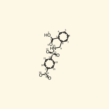 O=C(O)c1ccccc1CNS(=O)(=O)c1ccc([N+](=O)[O-])cc1